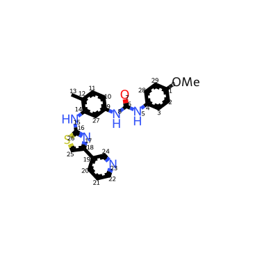 COc1ccc(NC(=O)Nc2ccc(C)c(Nc3nc(-c4cccnc4)cs3)c2)cc1